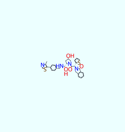 Cc1ncsc1-c1ccc(CNC(O)[C@@H]2C[C@@H](O)CN2C(=O)[C@H](c2cccs2)N2Cc3ccccc3C2=O)cc1